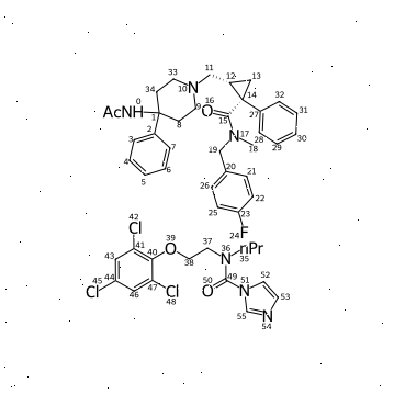 CC(=O)NC1(c2ccccc2)CCN(C[C@@H]2C[C@@]2(C(=O)N(C)Cc2ccc(F)cc2)c2ccccc2)CC1.CCCN(CCOc1c(Cl)cc(Cl)cc1Cl)C(=O)n1ccnc1